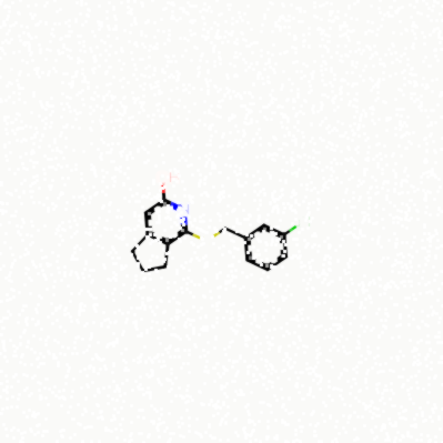 Oc1cc2c(c(SCc3cccc(Cl)c3)n1)CCC2